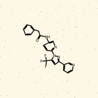 O=C(Cc1ccccc1)Nc1ccc(-n2nc(-c3cccnc3)cc2C(F)(F)F)nc1